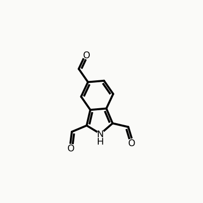 O=Cc1ccc2c(C=O)[nH]c(C=O)c2c1